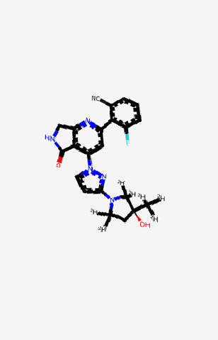 [2H]C1([2H])C[C@@](O)(C([2H])([2H])[2H])C([2H])([2H])N1c1ccn(-c2cc(-c3c(F)cccc3C#N)nc3c2C(=O)NC3)n1